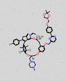 C=C1CC(c2ccc(F)cc2)=C2/C1=C(/N=C\C)O[C@@H](C(=O)O)Cc1cc(ccc1OCc1ccnc(-c3ccc(OC[C@H]4COC(C)(C)O4)cc3)n1)OC[C@@H](CN1CCN(C)CC1)Oc1c(Cl)c(C)c2c(C)c1Cl